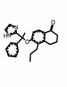 CCCc1c(OC(C)(c2ccccc2)c2ncc[nH]2)ccc2c1CCCC2=O